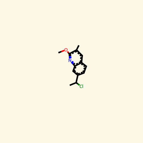 COc1nc2cc(C(C)Cl)ccc2cc1C